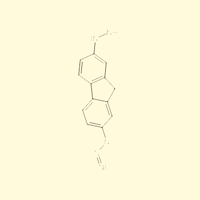 N=NNc1ccc2c(c1)Cc1cc(NN)ccc1-2